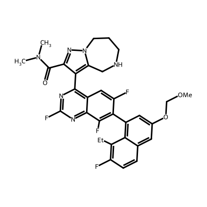 CCc1c(F)ccc2cc(OCOC)cc(-c3c(F)cc4c(-c5c(C(=O)N(C)C)nn6c5CNCCC6)nc(F)nc4c3F)c12